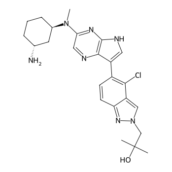 CN(c1cnc2c(-c3ccc4nn(CC(C)(C)O)cc4c3Cl)c[nH]c2n1)[C@@H]1CCC[C@@H](N)C1